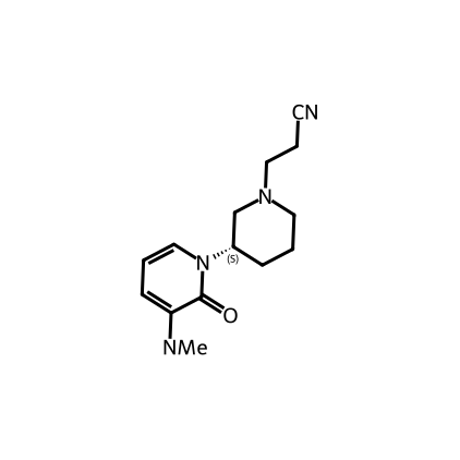 CNc1cccn([C@H]2CCCN(CCC#N)C2)c1=O